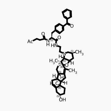 CC(=O)CCC(=O)N[C@@H](Cc1ccc(C(=O)c2ccccc2)cc1)C(=O)NCCN1C[C@@H](C)C[C@H]2O[C@]3(CC[C@@H]4C(=C3C)C[C@H]3[C@H]4CC=C4C[C@@H](O)CC[C@@]43C)[C@H](C)[C@@H]21